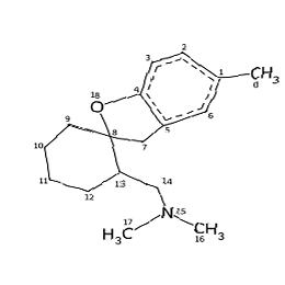 Cc1ccc2c(c1)CC1(CCCCC1CN(C)C)O2